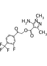 Cc1nn(C)c(N)c1C(=O)OCC(=O)c1ccc(C(F)(F)F)c(F)c1